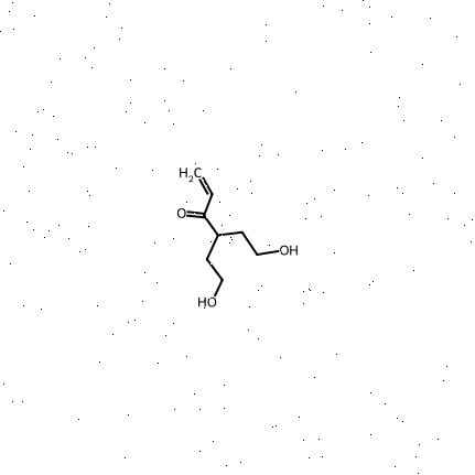 C=CC(=O)C(CCO)CCO